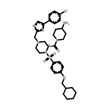 NC1CCN(C(=O)[C@@H]2CN(Cc3ncc(-c4ccc(Cl)cc4)s3)CCN2S(=O)(=O)c2ccc(OCC3CCCCC3)cc2)CC1